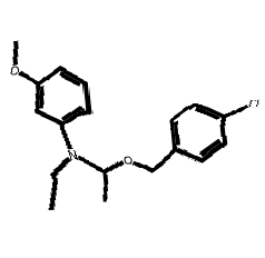 CCN(c1cccc(OC)c1)C(C)OCc1ccc(Cl)cc1